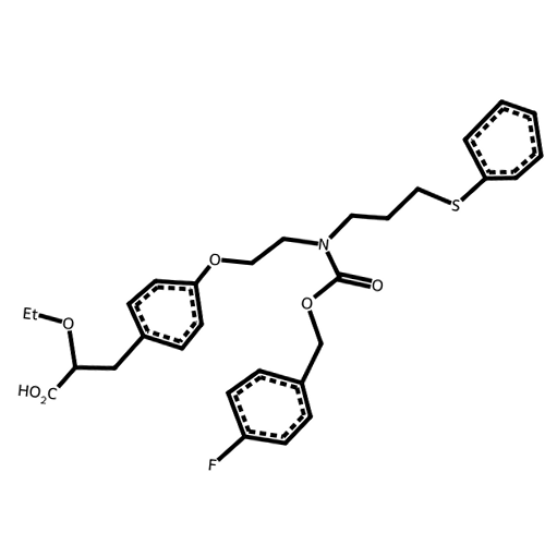 CCOC(Cc1ccc(OCCN(CCCSc2ccccc2)C(=O)OCc2ccc(F)cc2)cc1)C(=O)O